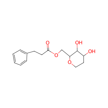 O=C(CCc1ccccc1)OCC1OCCC(O)C1O